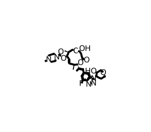 C/C(=C\c1cc(F)c2nnn([C@H]3CCOC[C@@H]3O)c2c1)[C@H]1OC(=O)C[C@H](O)CC[C@H](C)[C@@H](OC(=O)N2CCN(C)CC2)/C=C/[C@@H]1C